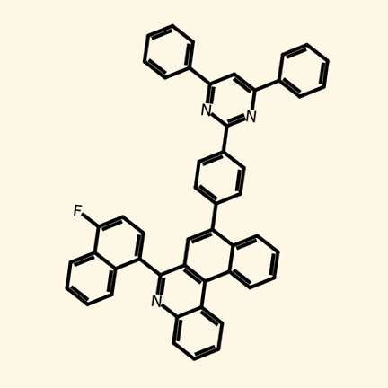 Fc1ccc(-c2nc3ccccc3c3c2cc(-c2ccc(-c4nc(-c5ccccc5)cc(-c5ccccc5)n4)cc2)c2ccccc23)c2ccccc12